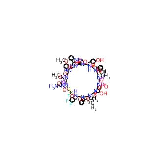 CCCC[C@H]1C(=O)N2C[C@H](O)C[C@@H]2C(=O)N[C@@H](COC=O)C(=O)N[C@@H](C(C)C)C(=O)N(C)[C@@H](Cc2ccccc2)C(=O)N[C@@H](Cc2ccc(O)cc2)C(=O)N2CCOC[C@@H]2C(=O)N[C@@H](Cc2c[nH]c3ccccc23)C(=O)N[C@@H](Cc2ccc(OC)cc2)C(=O)N[C@@H](CCOC)C(=O)N[C@H](C(=O)NCC(N)=O)CSCC(=O)N[C@@H](Cc2cc(F)c(F)c(F)c2)C(=O)N(C)[C@@H](Cc2ccccc2)C(=O)N1C